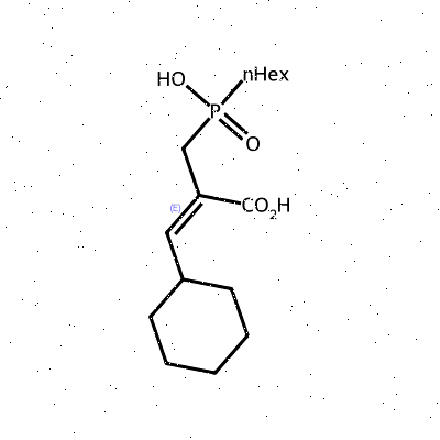 CCCCCCP(=O)(O)C/C(=C/C1CCCCC1)C(=O)O